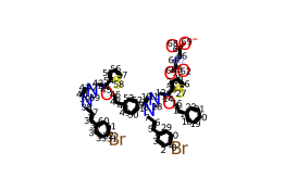 Brc1ccc(C=CCn2cc[n+](CC(OCCc3ccccc3)c3cccs3)c2)cc1.Brc1ccc(C=CCn2cc[n+](CC(OCCc3ccccc3)c3cccs3)c2)cc1.O=C([O-])/C=C/C(=O)[O-]